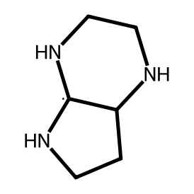 C1CNC2CCN[C]2N1